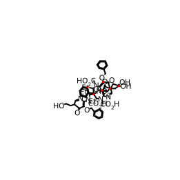 CCC(N(C(=O)O)C1=C(OCc2ccccc2)C(=O)C(CCO)C=N1)C(C(CC)N(C(=O)O)C1=C(OCc2ccccc2)C(=O)C(CCO)C=N1)(C(CC)N(C(=O)O)C1=C(OCc2ccccc2)C(=O)C(CCO)C=N1)[N+](=O)[O-]